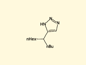 CCCCCCC(CCCC)c1cnn[nH]1